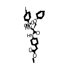 CCOC(=O)Cc1ccc(NC(=O)[C@H](COc2ccccc2)NS(=O)(=O)c2ccc(I)cc2)cc1